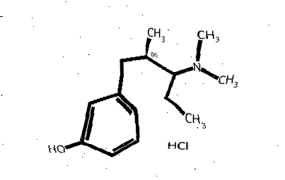 CCC([C@H](C)Cc1cccc(O)c1)N(C)C.Cl